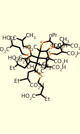 CCCC(SC(C(=O)O)(C(SCC(C)C(=O)O)C(C)C(=O)O)C(C(SCC(C)C(=O)O)C(C)C(=O)O)(C(SCC(C)C(=O)O)C(C)C(=O)O)C(C)(C(CC(CC)C(=O)O)SCCC(CC)C(=O)O)C(CC(CC)C(=O)O)SCCC(CC)C(=O)O)C(=O)O